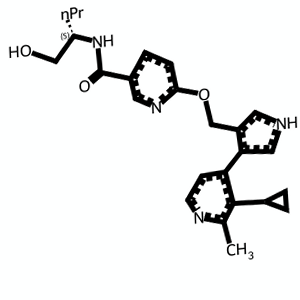 CCC[C@@H](CO)NC(=O)c1ccc(OCc2c[nH]cc2-c2ccnc(C)c2C2CC2)nc1